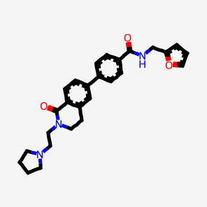 O=C(NCc1ccco1)c1ccc(-c2ccc3c(c2)CCN(CCN2CCCC2)C3=O)cc1